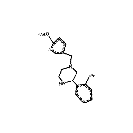 COc1ccc(CN2CCNC(c3ccccc3C(C)C)C2)cn1